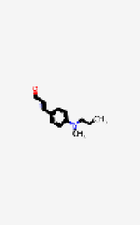 CCCN(C)c1ccc(/C=C/C=O)cc1